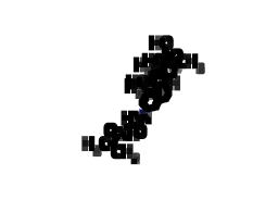 C=C(C)C(=O)NCC(=O)N/N=C1\C=C[C@@]2(C)C(=C1)CC[C@H]1[C@@H]3C[C@@H](C)[C@](O)(C(=O)CO)[C@@]3(C)C[C@H](O)[C@@]12F